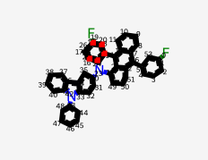 Fc1cccc(-c2c3ccccc3c(-c3cccc(F)c3)c3c(N(c4ccccc4)c4ccc5c(c4)c4ccccc4n5-c4ccccc4)cccc23)c1